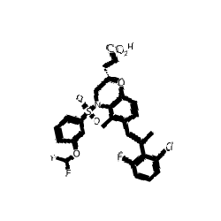 C/C(=C\c1ccc2c(c1C)N(S(=O)(=O)c1cccc(OC(F)F)c1)C[C@H](CCC(=O)O)O2)c1c(F)cccc1Cl